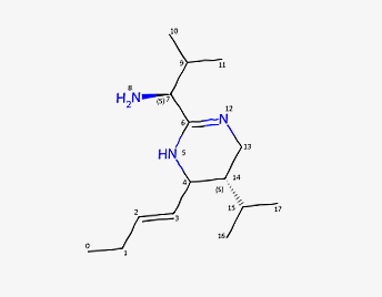 CCC=CC1NC([C@@H](N)C(C)C)=NC[C@@H]1C(C)C